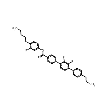 CCCCCc1ccc(OC(=O)c2ccc(-c3ccc(-c4ccc(CCC)cc4)c(F)c3F)cc2)cc1F